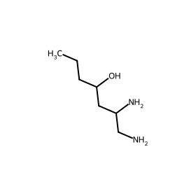 CCCC(O)CC(N)CN